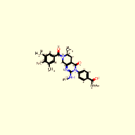 CNC(=O)c1ccc(-n2c(NC(C)C)nc3c(c2=O)C[C@@H](C)N(C(=O)c2cc(C)c(C#N)c(C)c2)C3)cc1